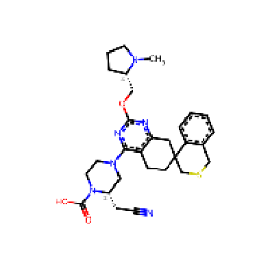 CN1CCC[C@H]1COc1nc2c(c(N3CCN(C(=O)O)[C@@H](CC#N)C3)n1)CCC1(CSCc3ccccc31)C2